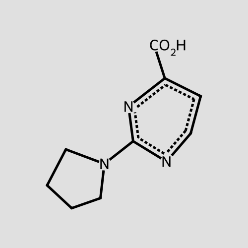 O=C(O)c1ccnc(N2CCCC2)n1